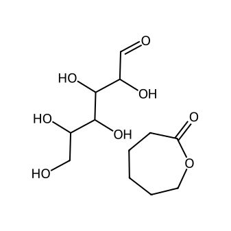 O=C1CCCCCO1.O=CC(O)C(O)C(O)C(O)CO